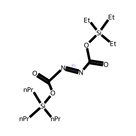 CCC[Si](CCC)(CCC)OC(=O)/N=N/C(=O)O[Si](CC)(CC)CC